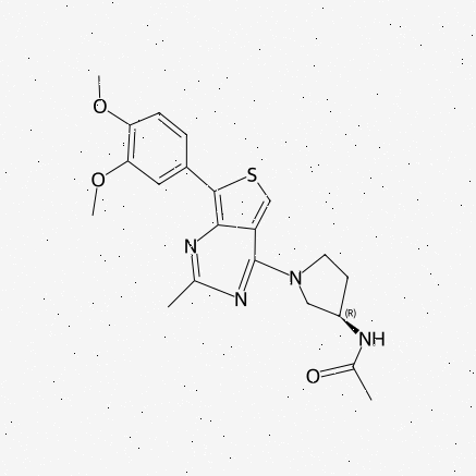 COc1ccc(-c2scc3c(N4CC[C@@H](NC(C)=O)C4)nc(C)nc23)cc1OC